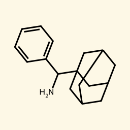 NC(c1ccccc1)C12CC3CC(CC(C3)C1)C2